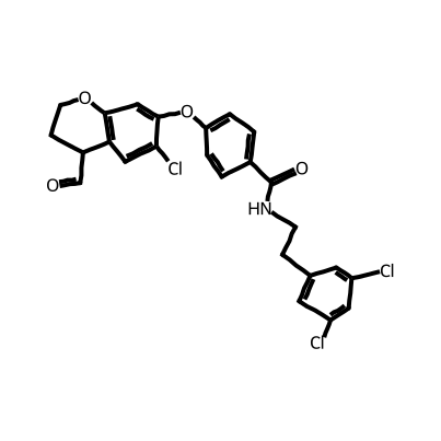 O=CC1CCOc2cc(Oc3ccc(C(=O)NCCc4cc(Cl)cc(Cl)c4)cc3)c(Cl)cc21